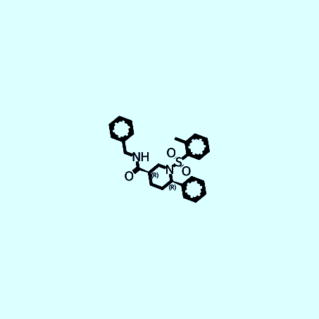 Cc1ccccc1S(=O)(=O)N1C[C@H](C(=O)NCc2ccccc2)CC[C@@H]1c1ccccc1